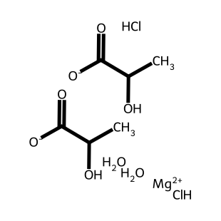 CC(O)C(=O)[O-].CC(O)C(=O)[O-].Cl.Cl.O.O.[Mg+2]